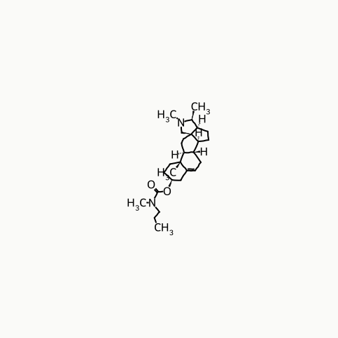 CCCN(C)C(=O)O[C@H]1CC[C@@]2(C)C(=CC[C@H]3[C@@H]4CC[C@@H]5[C@H](C)N(C)C[C@@]54CC[C@@H]32)C1